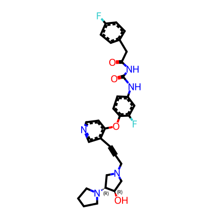 O=C(Cc1ccc(F)cc1)NC(=O)Nc1ccc(Oc2ccncc2C#CCN2C[C@@H](O)[C@H](N3CCCC3)C2)c(F)c1